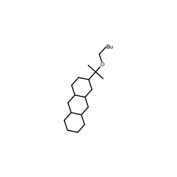 CCC(C)COC(C)(C)C1CCC2CC3CCCCC3CC2C1